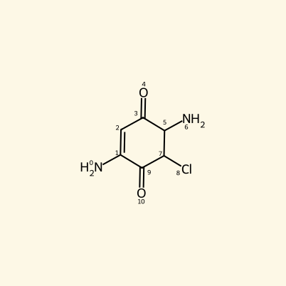 NC1=CC(=O)C(N)C(Cl)C1=O